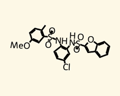 COc1ccc(C)c(S(=O)(=O)Nc2ccc(Cl)cc2NS(=O)(=O)c2cc3ccccc3o2)c1